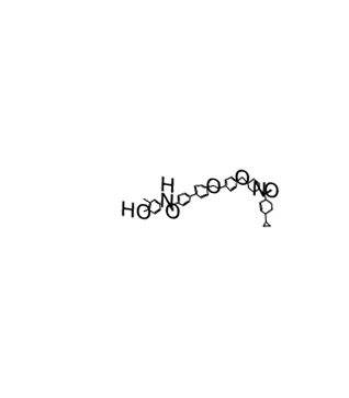 Cc1cc(NC(=O)c2ccc(-c3ccc(OCc4ccc(OC5CCN(C(=O)C6C=CC(C7CC7)CC6)CC5)cc4)cc3)cc2)ccc1O